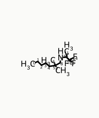 CCCCCC(C)(C)CNC(C)C(F)(F)F